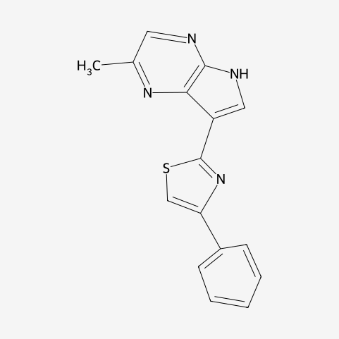 Cc1cnc2[nH]cc(-c3nc(-c4ccccc4)cs3)c2n1